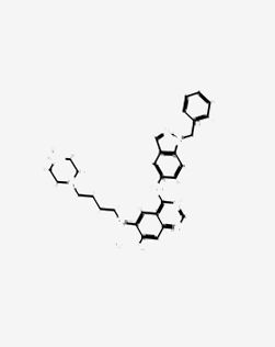 COc1cc2ncnc(Nc3ccc4c(cnn4Cc4ccccc4)c3)c2cc1NCCCCN1CC[S+]([O-])CC1